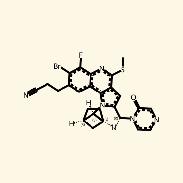 CSc1nc2c(F)c(Br)c(CCC#N)cc2c2c1cc([C@@H](C)n1ccncc1=O)n2[C@@H]1[C@@H]2CC[C@H]1C2